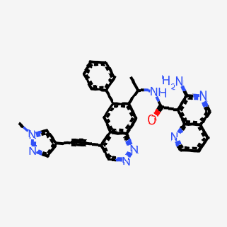 CC(NC(=O)c1c(N)ncc2cccnc12)c1cc2nncc(C#Cc3cnn(C)c3)c2cc1-c1ccccc1